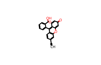 C#Cc1ccc2c(-c3ccccc3C(=O)O)c3ccc(=O)cc-3oc2c1